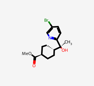 COC(=O)[C@H]1CC[C@H]([C@](C)(O)c2ccc(Br)cn2)CC1